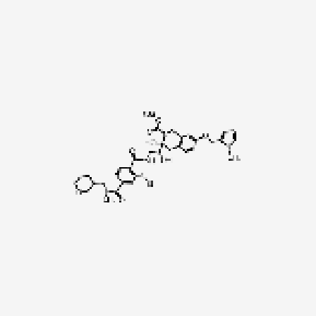 CCOc1cc(C(=O)N(C)CC2CCCOC2)ccc1C(=O)NC[C@@H](O)[C@@]1(O)Cc2ccc(OCc3cncn3C)cc2CN1C(=O)OC(C)(C)C